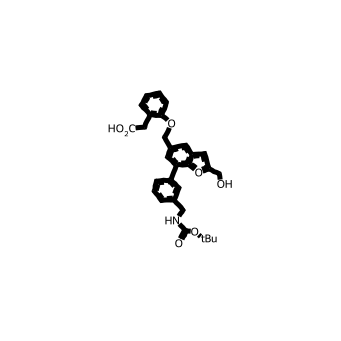 CC(C)(C)OC(=O)NCc1cccc(-c2cc(COc3ccccc3CC(=O)O)cc3cc(CO)oc23)c1